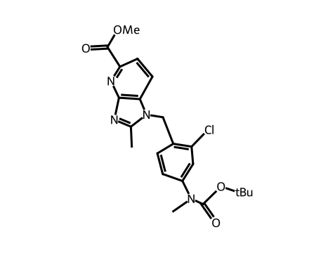 COC(=O)c1ccc2c(n1)nc(C)n2Cc1ccc(N(C)C(=O)OC(C)(C)C)cc1Cl